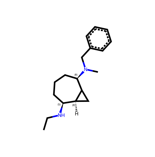 CCN[C@H]1CCC[C@@H](N(C)Cc2ccccc2)C2C[C@H]21